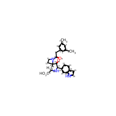 Cc1cc(C)cc(CC(=O)N2CCC2(C)C(=O)C(NCC(=O)O)c2ccc3cc[nH]c3c2)c1